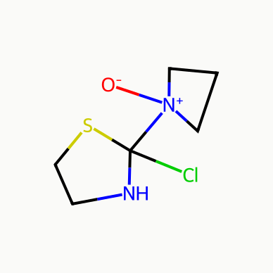 [O-][N+]1(C2(Cl)NCCS2)CCC1